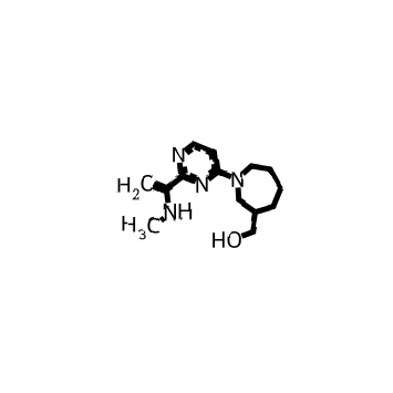 C=C(NC)c1nccc(N2CCCCC(CO)C2)n1